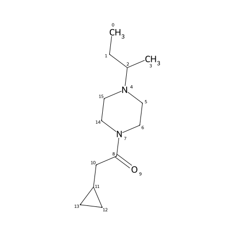 CCC(C)N1CCN(C(=O)CC2CC2)CC1